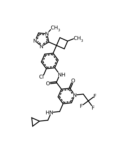 CC1CC(c2ccc(Cl)c(NC(=O)c3cc(CNCC4CC4)cn(CC(F)(F)F)c3=O)c2)(c2nncn2C)C1